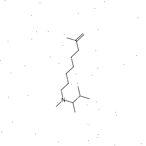 C=C(C)CCCCCCN(C)C(C)C(C)C